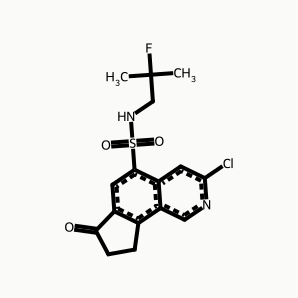 CC(C)(F)CNS(=O)(=O)c1cc2c(c3cnc(Cl)cc13)CCC2=O